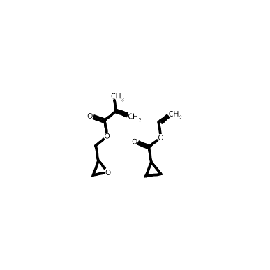 C=C(C)C(=O)OCC1CO1.C=COC(=O)C1CC1